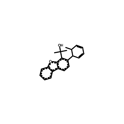 CC1C=CC=CC1c1ccc2c(oc3ccccc32)c1C(C)(C)O